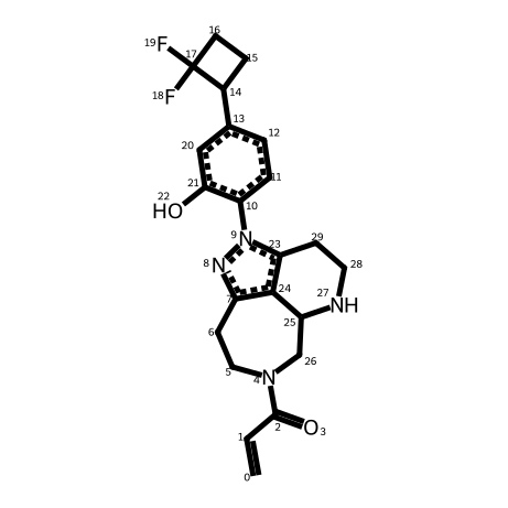 C=CC(=O)N1CCc2nn(-c3ccc(C4CCC4(F)F)cc3O)c3c2C(C1)NCC3